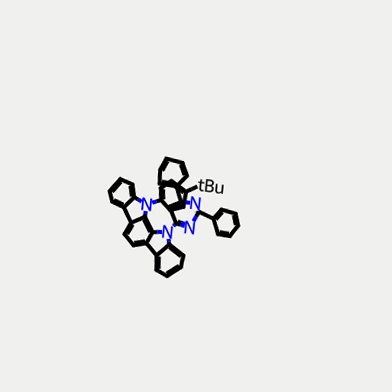 CC(C)(C)c1ccc(-n2c3ccccc3c3ccc4c5ccccc5n(-c5cc(-c6ccccc6)nc(-c6ccccc6)n5)c4c32)cc1